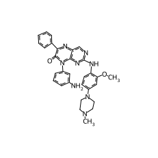 COc1cc(N2CCN(C)CC2)ccc1Nc1ncc2nc(-c3ccccc3)c(=O)n(-c3cccc(N)c3)c2n1